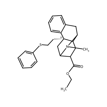 CCOC(=O)C1CC2C3Cc4ccccc4[C@]2(CCSc2ccccc2)CC1N3C